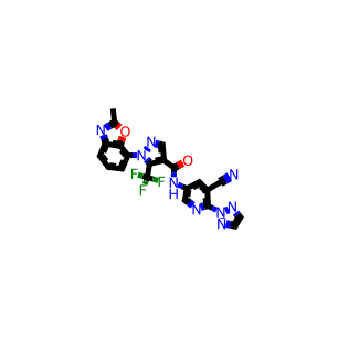 Cc1nc2cccc(-n3ncc(C(=O)Nc4cnc(-n5nccn5)c(C#N)c4)c3C(F)(F)F)c2o1